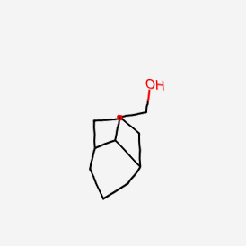 OCCC1C2CCCC1CCC2